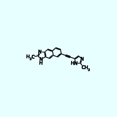 Cc1ncc(C#Cc2ccc3cc4nc(C)[nH]c4cc3c2)[nH]1